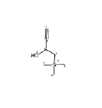 C#CC(O)C[Si](C)(C)C